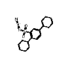 [N-]=[N+]=NS(=O)(=O)c1cc(C2CCCCC2)ccc1C1CCCCC1